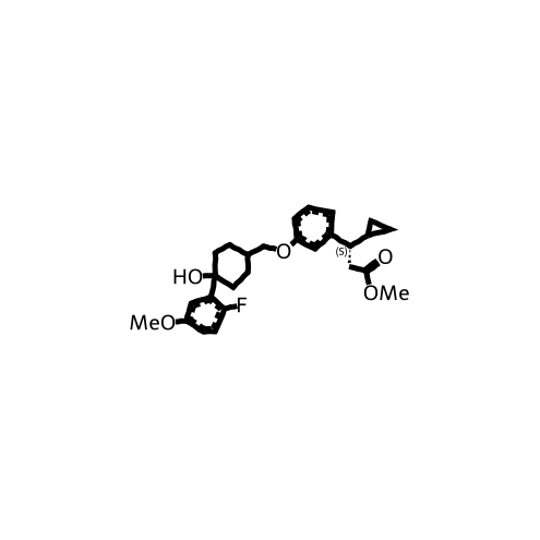 COC(=O)C[C@H](c1cccc(OCC2CCC(O)(c3cc(OC)ccc3F)CC2)c1)C1CC1